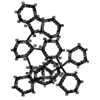 c1ccc(S(c2ccccc2)(c2ccccc2)c2cccc(-c3c(-n4c5ccccc5c5ccccc54)cccc3-n3c4ccccc4c4ccccc43)c2)cc1